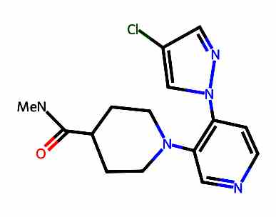 CNC(=O)C1CCN(c2cnccc2-n2cc(Cl)cn2)CC1